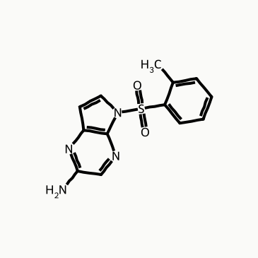 Cc1ccccc1S(=O)(=O)n1ccc2nc(N)cnc21